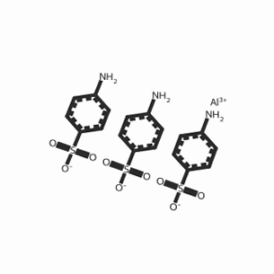 Nc1ccc(S(=O)(=O)[O-])cc1.Nc1ccc(S(=O)(=O)[O-])cc1.Nc1ccc(S(=O)(=O)[O-])cc1.[Al+3]